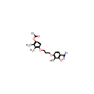 CCCc1c(OCCCOc2ccc(OC(=O)CC)c(C)c2C)ccc2c(CC)noc12